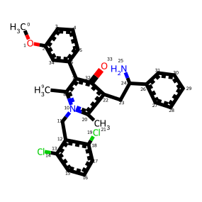 COc1cccc(-c2c(C)n(Cc3c(Cl)cccc3Cl)c(C)c(CC(N)c3ccccc3)c2=O)c1